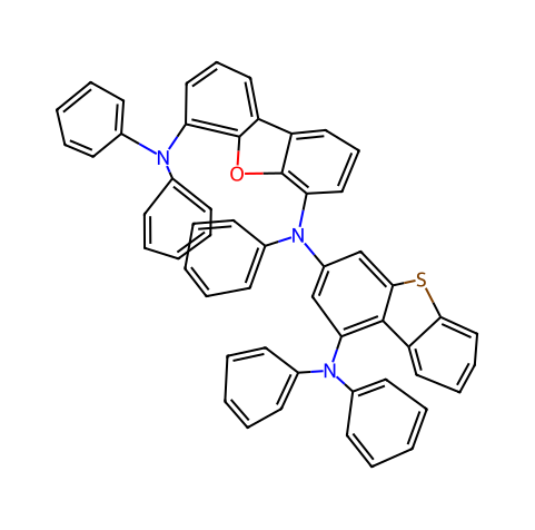 c1ccc(N(c2ccccc2)c2cccc3c2oc2c(N(c4ccccc4)c4cc(N(c5ccccc5)c5ccccc5)c5c(c4)sc4ccccc45)cccc23)cc1